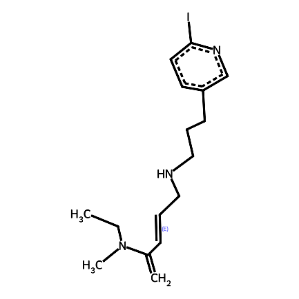 C=C(/C=C/CNCCCc1ccc(I)nc1)N(C)CC